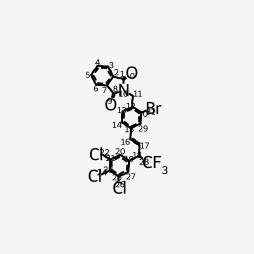 O=C1c2ccccc2C(=O)N1Cc1ccc(/C=C/C(c2cc(Cl)c(Cl)c(Cl)c2)C(F)(F)F)cc1Br